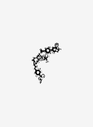 CCOC(=O)c1ccc(CCCN2CCC(CN(C(=O)OC(C)(C)C)C3CC3c3ccc(-c4ccn(C)c(=O)c4)cc3)CC2)cc1